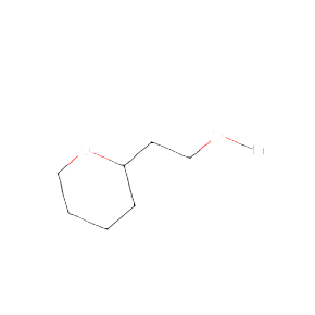 CCOCCC1CCCCO1